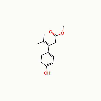 COC(=O)CC(C1=CC=C(O)CC1)=C(C)C